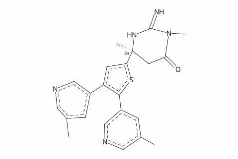 Cc1cncc(-c2cc([C@]3(C)CC(=O)N(C)C(=N)N3)sc2-c2cncc(C)c2)c1